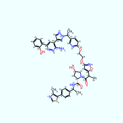 Cc1ncsc1-c1ccc([C@H](C)NC(=O)[C@@H]2C[C@@H](O)CN2C(=O)C(c2cc(OCCOc3ccc(C(C)n4cc(-c5cc(-c6ccccc6O)nnc5N)cn4)cn3)no2)C(C)C)cc1